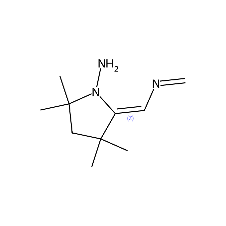 C=N/C=C1\N(N)C(C)(C)CC1(C)C